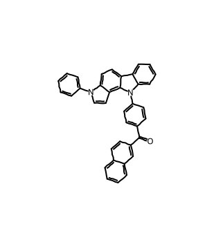 O=C(c1ccc(-n2c3ccccc3c3ccc4c(ccn4-c4ccccc4)c32)cc1)c1ccc2ccccc2c1